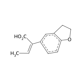 CC=C(C(=O)O)c1ccc2c(c1)CCO2